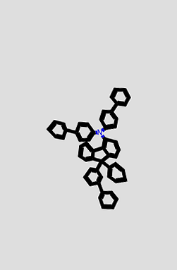 c1ccc(-c2ccc(N(c3ccc(-c4ccccc4)cc3)c3cccc4c3-c3ccccc3C4(c3ccccc3)c3cccc(-c4ccccc4)c3)cc2)cc1